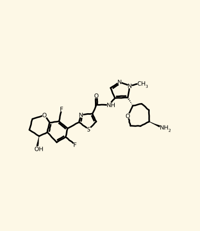 Cn1ncc(NC(=O)c2csc(-c3c(F)cc4c(c3F)OCC[C@@H]4O)n2)c1[C@@H]1CC[C@@H](N)CCO1